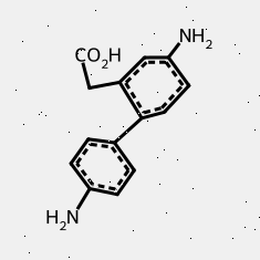 Nc1ccc(-c2ccc(N)cc2CC(=O)O)cc1